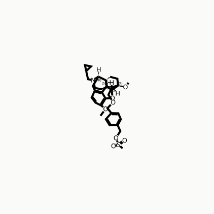 COc1ccc2c3c1O[C@H]1[C@@]4(OC)CC[C@@]5(C[C@@H]4COCc4ccc(COS(C)(=O)=O)cc4)[C@@H](C2)N(CC2CC2)CC[C@]315